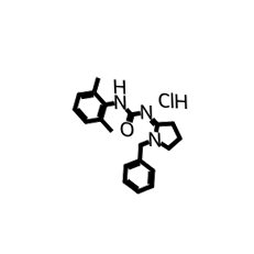 Cc1cccc(C)c1NC(=O)N=C1CCCN1Cc1ccccc1.Cl